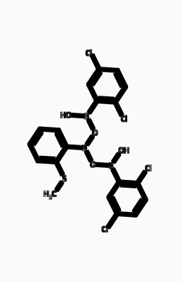 CSc1ccccc1B(OB(O)c1cc(Cl)ccc1Cl)OB(O)c1cc(Cl)ccc1Cl